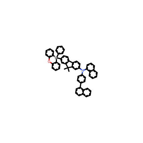 CC1(C)c2cc(N(c3ccc(-c4cccc5ccccc45)cc3)c3cccc4ccccc34)ccc2-c2ccc([Si]3(c4ccccc4)c4ccccc4Oc4ccccc43)cc21